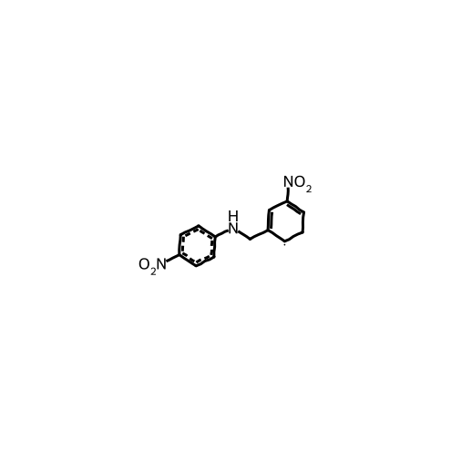 O=[N+]([O-])C1=CC[CH]C(CNc2ccc([N+](=O)[O-])cc2)=C1